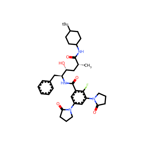 C[C@H](C[C@@H](O)[C@H](Cc1ccccc1)NC(=O)c1cc(N2CCCC2=O)cc(N2CCCC2=O)c1F)C(=O)NC1CCC(C(C)(C)C)CC1